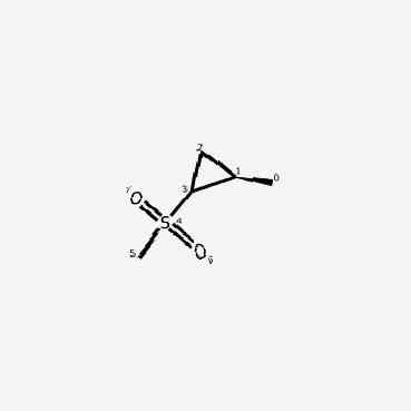 C[C@@H]1CC1S(C)(=O)=O